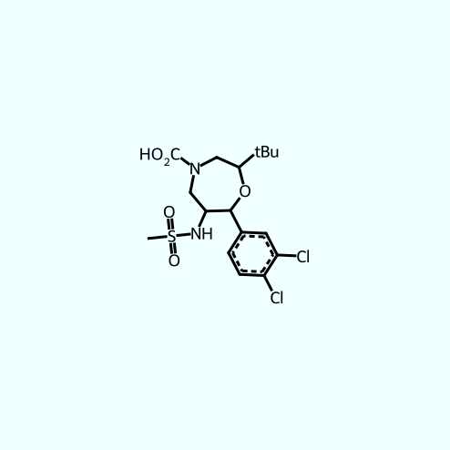 CC(C)(C)C1CN(C(=O)O)CC(NS(C)(=O)=O)C(c2ccc(Cl)c(Cl)c2)O1